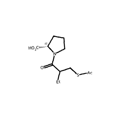 CCC(CSC(C)=O)C(=O)N1CCC[C@H]1C(=O)O